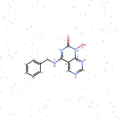 O=c1nc(NCc2ccccc2)c2cncnc2n1O